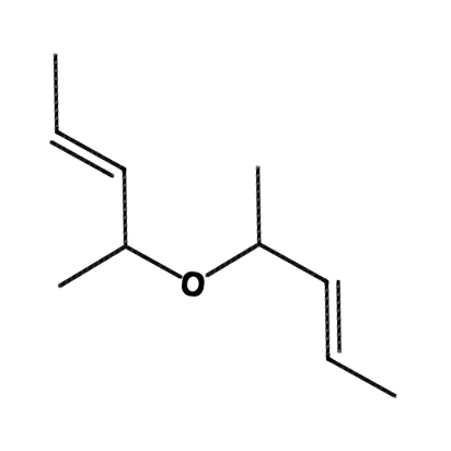 C/C=C/C(C)OC(C)/C=C/C